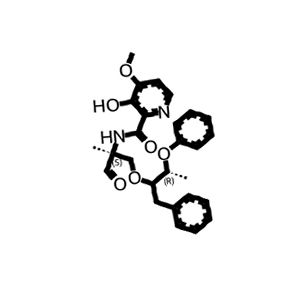 COc1ccnc(C(=O)N[C@](C)(C=O)COC(Cc2ccccc2)[C@@H](C)Oc2ccccc2)c1O